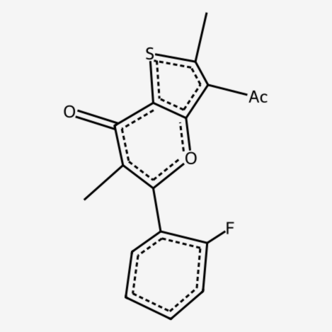 CC(=O)c1c(C)sc2c(=O)c(C)c(-c3ccccc3F)oc12